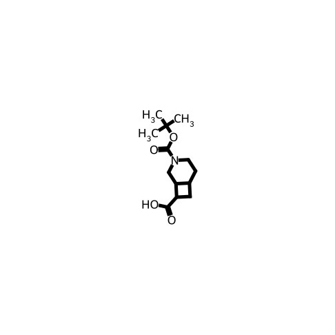 CC(C)(C)OC(=O)N1CCC2CC(C(=O)O)C2C1